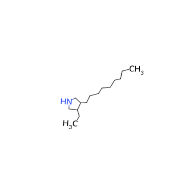 CCCCCCCCCC1CNCC1CC